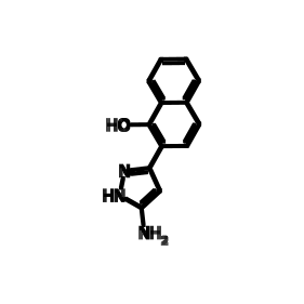 Nc1cc(-c2ccc3ccccc3c2O)n[nH]1